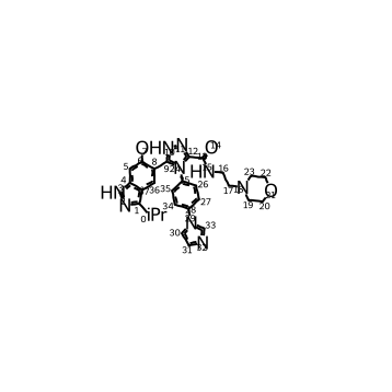 CC(C)c1n[nH]c2cc(O)c(-c3nnc(C(=O)NCCN4CCOCC4)n3-c3ccc(-n4ccnc4)cc3)cc12